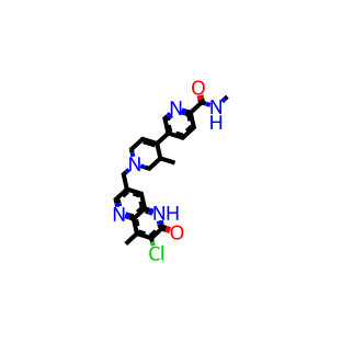 CNC(=O)c1ccc(C2=CCN(Cc3cnc4c(C)c(Cl)c(=O)[nH]c4c3)CC2C)cn1